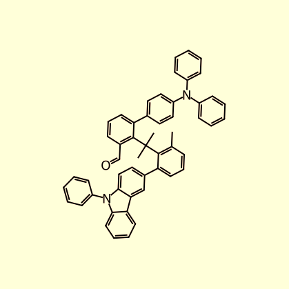 Cc1cccc(-c2ccc3c(c2)c2ccccc2n3-c2ccccc2)c1C(C)(C)c1c(C=O)cccc1-c1ccc(N(c2ccccc2)c2ccccc2)cc1